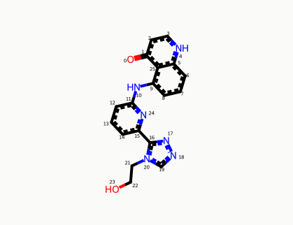 O=c1cc[nH]c2cccc(Nc3cccc(-c4nncn4CCO)n3)c12